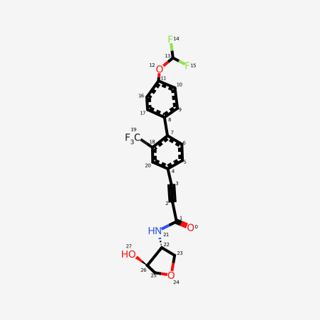 O=C(C#Cc1ccc(-c2ccc(OC(F)F)cc2)c(C(F)(F)F)c1)N[C@@H]1COC[C@H]1O